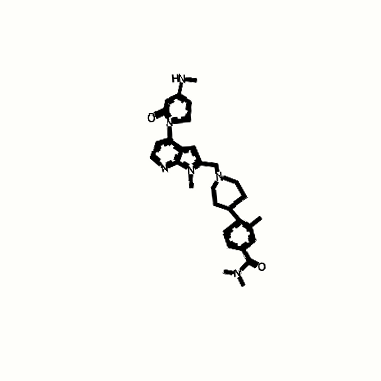 CNc1ccn(-c2ccnc3c2cc(CN2CCC(c4ccc(C(=O)N(C)C)cc4C)CC2)n3C)c(=O)c1